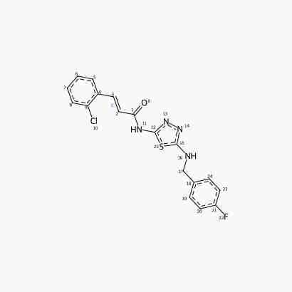 O=C(/C=C/c1ccccc1Cl)Nc1nnc(NCc2ccc(F)cc2)s1